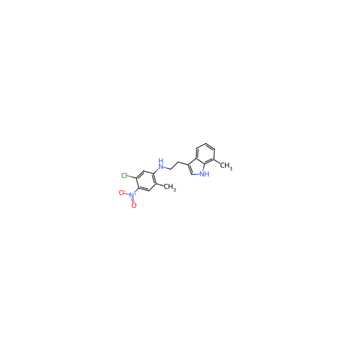 Cc1cc([N+](=O)[O-])c(Cl)cc1NCCc1c[nH]c2c(C)cccc12